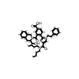 CCCCN(CCCC)C(=O)c1cn(CCc2ccccc2)c(-c2ccc(C(=O)O)cc2C(=O)N2Cc3ccccc3CC2CO)n1